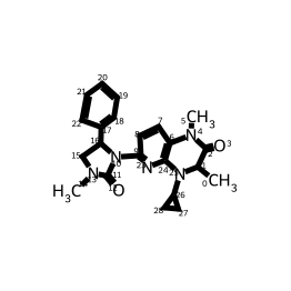 CC1C(=O)N(C)c2ccc(N3C(=O)N(C)CC3c3ccccc3)nc2N1C1CC1